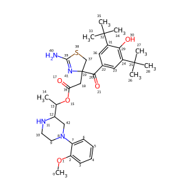 COc1ccccc1N1CCNC(C(C)OC(=O)CC2(C(=O)c3cc(C(C)(C)C)c(O)c(C(C)(C)C)c3)CSC(N)=N2)C1